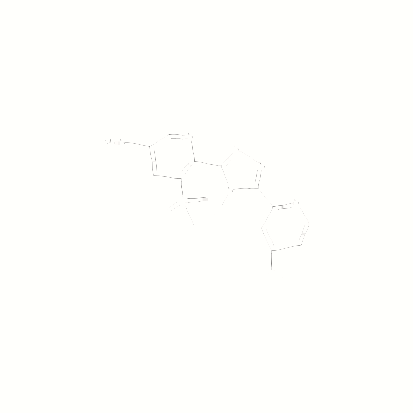 CCS(=O)(=O)c1cc(NC)cnc1-c1nnc(-c2cc(C(F)(F)F)ccn2)n1C